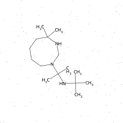 CC(C)(C)NC(C)(C)N1CCCCC(C)(C)NC1